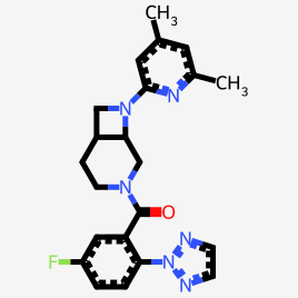 Cc1cc(C)nc(N2CC3CCN(C(=O)c4cc(F)ccc4-n4nccn4)CC32)c1